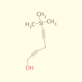 C[Si](C)(C)C#CCC#CCO